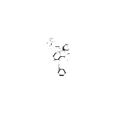 CN1C(=O)c2c(OCc3ccccc3)c(=O)ccn2N(CCO[Si](C)(C)C(C)(C)C)C12CCOC2